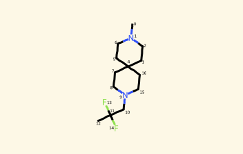 CN1CCC2(CC1)CCN(CC(C)(F)F)CC2